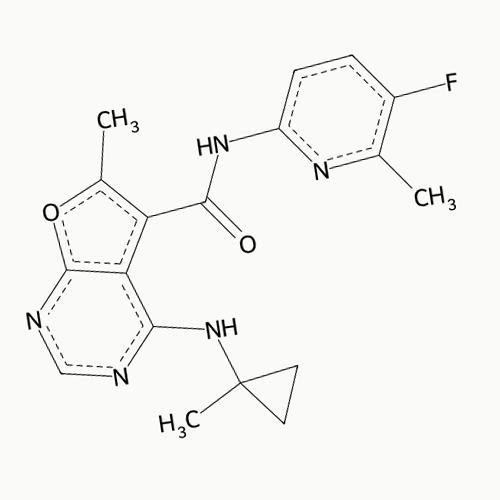 Cc1nc(NC(=O)c2c(C)oc3ncnc(NC4(C)CC4)c23)ccc1F